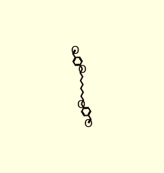 O=Cc1ccc(OCCCCCCCCOc2ccc(C=O)cc2)cc1